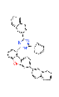 C1=CCC(c2nc(-c3ccc4ccccc4c3)nc(-c3cccc4oc5cc(-c6ccc7ccccc7c6)ccc5c34)n2)C=C1